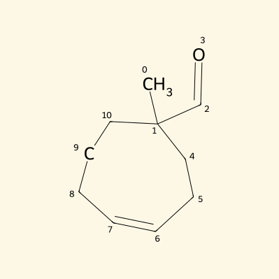 CC1(C=O)CC/C=C\CCC1